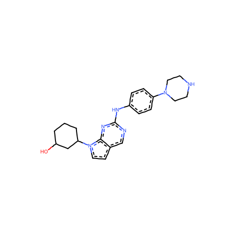 OC1CCCC(n2ccc3cnc(Nc4ccc(N5CCNCC5)cc4)nc32)C1